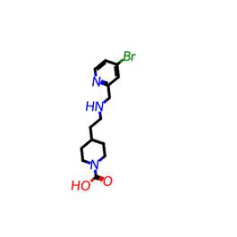 O=C(O)N1CCC(CCNCc2cc(Br)ccn2)CC1